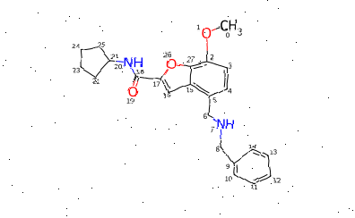 COc1ccc(CNCc2ccccc2)c2cc(C(=O)NC3CCCC3)oc12